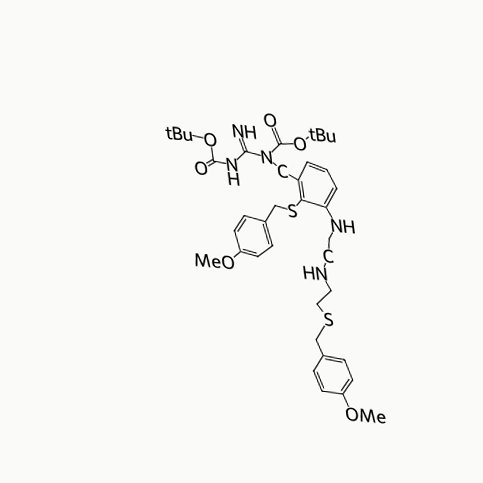 COc1ccc(CSCCNCCNc2cccc(CN(C(=N)NC(=O)OC(C)(C)C)C(=O)OC(C)(C)C)c2SCc2ccc(OC)cc2)cc1